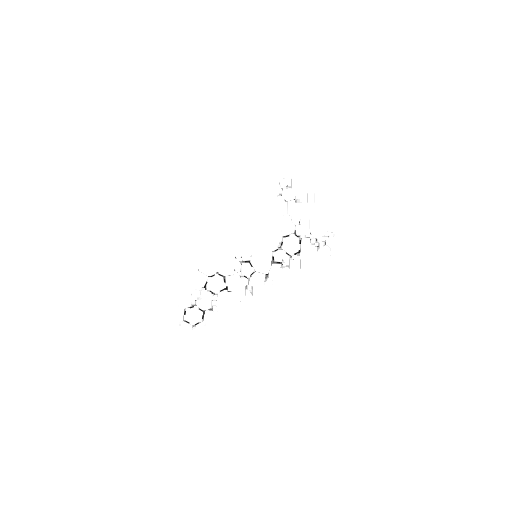 Cc1cc(-n2ncc(C(=O)c3cc4cc(OCC(O)CO)c(NS(C)(=O)=O)cc4[nH]3)c2N)ccc1Oc1ccccc1F